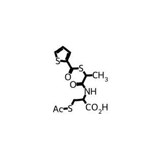 CC(=O)SCC(NC(=O)C(C)SC(=O)c1cccs1)C(=O)O